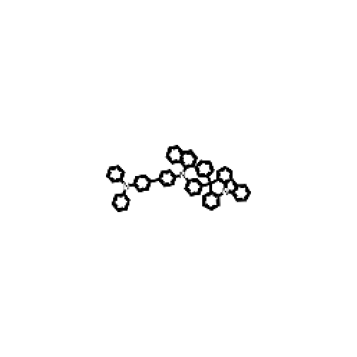 c1ccc(N(c2ccccc2)c2ccc(-c3ccc(N(c4cccc(C5(c6ccccc6)c6ccccc6-n6c7ccccc7c7cccc5c76)c4)c4cccc5ccccc45)cc3)cc2)cc1